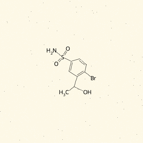 CC(O)c1cc(S(N)(=O)=O)ccc1Br